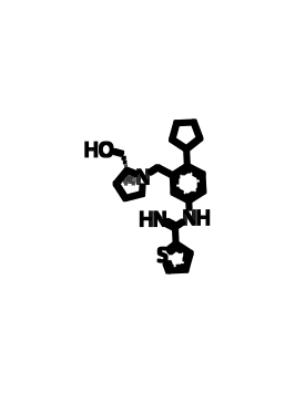 N=C(Nc1ccc(C2CCCC2)c(CN2CCC[C@@H]2CO)c1)c1cccs1